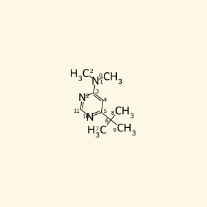 CN(C)c1cc(C(C)(C)C)ncn1